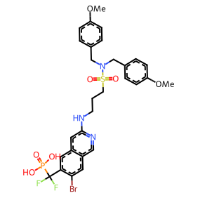 COc1ccc(CN(Cc2ccc(OC)cc2)S(=O)(=O)CCCNc2cc3cc(C(F)(F)P(=O)(O)O)c(Br)cc3cn2)cc1